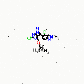 Cn1cc2c(Cl)c(-c3c[nH]c4nc(Cl)nc(COCC[Si](C)(C)C)c34)ccc2n1